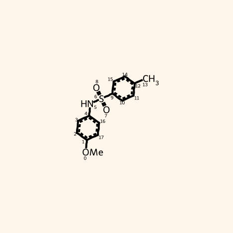 COc1ccc(NS(=O)(=O)c2ccc(C)cc2)cc1